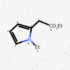 CCOC(=O)Cc1cccn1CC